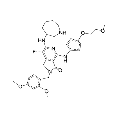 COCCOc1ccc(Nc2nc(NC3CCCCNC3)c(F)c3c2C(=O)N(Cc2ccc(OC)cc2OC)C3)cc1